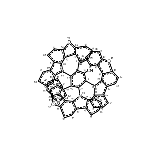 N#Cc1c(C#N)c(-n2c3ccccc3c3ccc4oc5ccccc5c4c32)c(-n2c3ccccc3c3ccc4oc5ccccc5c4c32)c(-c2cccnc2)c1-n1c2ccccc2c2ccc3oc4ccccc4c3c21